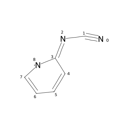 N#CN=C1C=CC=C[N]1